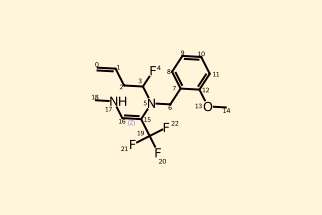 C=CCC(F)N(Cc1ccccc1OC)/C(=C\NC)C(F)(F)F